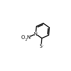 O=[N+]([O-])N1C=CC=CC1[S]